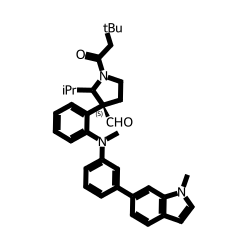 CC(C)C1N(C(=O)CC(C)(C)C)CC[C@]1(C=O)c1ccccc1N(C)c1cccc(-c2ccc3ccn(C)c3c2)c1